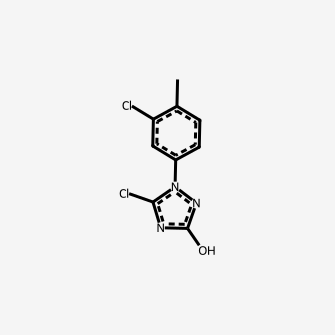 Cc1ccc(-n2nc(O)nc2Cl)cc1Cl